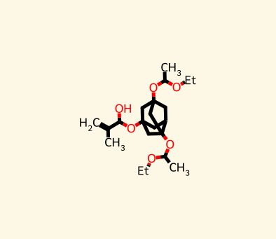 C=C(C)C(O)OC12CC3CC(OC(C)OCC)(C1)CC3(OC(C)OCC)C2